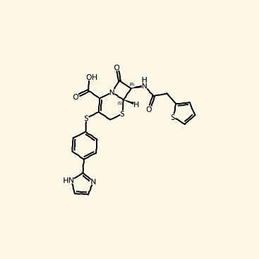 O=C(Cc1cccs1)N[C@@H]1C(=O)N2C(C(=O)O)=C(Sc3ccc(-c4ncc[nH]4)cc3)CS[C@@H]12